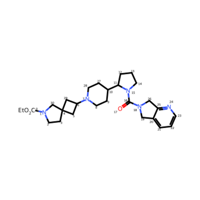 CCOC(=O)N1CCC2(CC(N3CCC(C4CCCN4C(=O)N4Cc5cccnc5C4)CC3)C2)C1